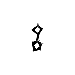 [c]1cnn(C2COC2)c1